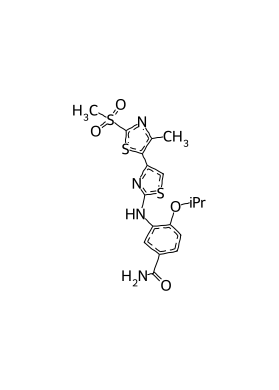 Cc1nc(S(C)(=O)=O)sc1-c1csc(Nc2cc(C(N)=O)ccc2OC(C)C)n1